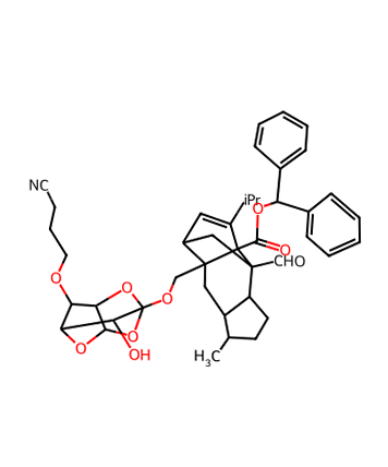 CC(C)C1=CC2CC3(C=O)C4CCC(C)C4CC2(COC24OC5OC(C(OCCCC#N)C5O2)C4O)C13C(=O)OC(c1ccccc1)c1ccccc1